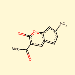 COC(=O)c1cc2ccc([N+](=O)[O-])cc2oc1=O